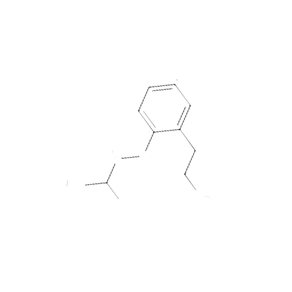 CC(C)SSc1ccccc1CCO